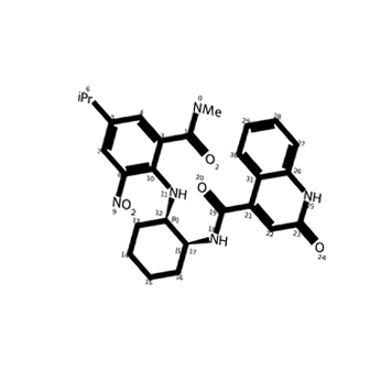 CNC(=O)c1cc(C(C)C)cc([N+](=O)[O-])c1N[C@@H]1CCCC[C@@H]1NC(=O)c1cc(=O)[nH]c2ccccc12